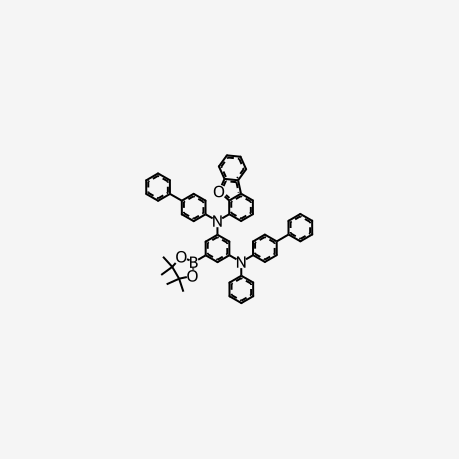 CC1(C)OB(c2cc(N(c3ccccc3)c3ccc(-c4ccccc4)cc3)cc(N(c3ccc(-c4ccccc4)cc3)c3cccc4c3oc3ccccc34)c2)OC1(C)C